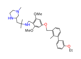 CCOc1cccc(-c2cccc(COc3cc(OC)c(CNC(C)(C)CC4CN(C)CCN4)c(OC)c3)c2C)c1